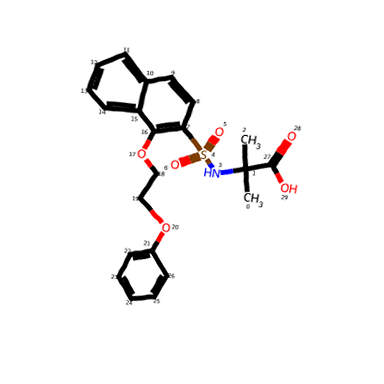 CC(C)(NS(=O)(=O)c1ccc2ccccc2c1OCCOc1ccccc1)C(=O)O